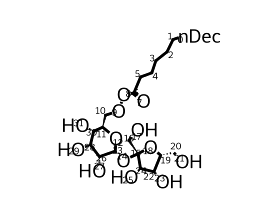 CCCCCCCCCCCCCCCC(=O)OOC[C@H]1O[C@H](O[C@]2(CO)O[C@H](CO)[C@@H](O)[C@@H]2O)[C@H](O)[C@@H](O)[C@@H]1O